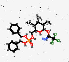 CC1[C@@H](OC(=N)C(Cl)(Cl)Cl)OC(COP(=O)(OCc2ccccc2)OCc2ccccc2)[C@@H](C)[C@@H]1C